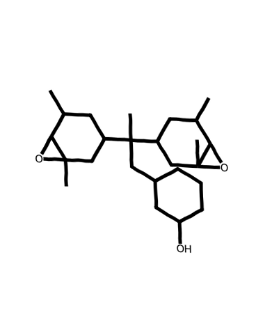 CC1CC(C(C)(CC2CCCC(O)C2)C2CC(C)C3OC3(C)C2)CC2(C)OC12